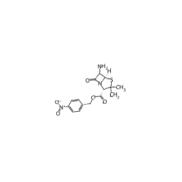 CC1(C)S[C@@H]2C(N)C(=O)N2[C@H]1C(=O)OCc1ccc([N+](=O)[O-])cc1